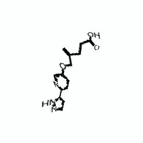 C=C(CCC(=O)O)COc1ccc(-c2ccn[nH]2)nc1